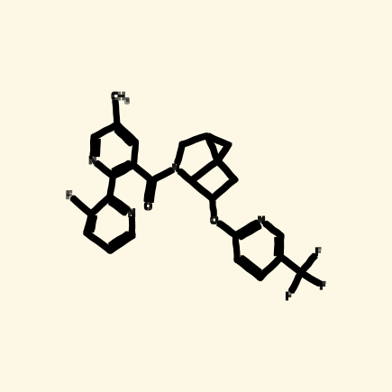 Cc1cnc(-c2ncccc2F)c(C(=O)N2CC3CC34CC(Oc3ccc(C(F)(F)F)cn3)C24)c1